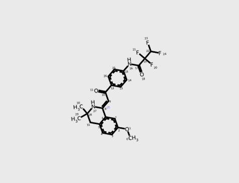 COc1ccc2c(c1)/C(=C/C(=O)c1ccc(NC(=O)C(F)(F)C(F)F)cc1)NC(C)(C)C2